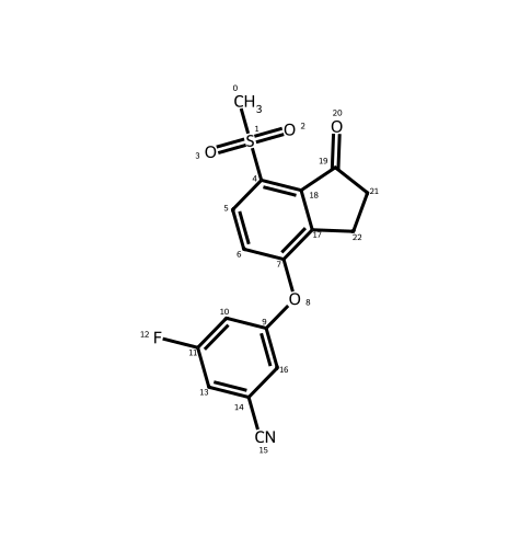 CS(=O)(=O)c1ccc(Oc2cc(F)cc(C#N)c2)c2c1C(=O)CC2